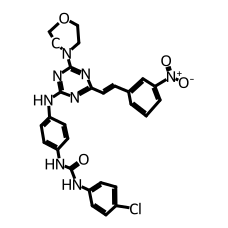 O=C(Nc1ccc(Cl)cc1)Nc1ccc(Nc2nc(/C=C/c3cccc([N+](=O)[O-])c3)nc(N3CCOCC3)n2)cc1